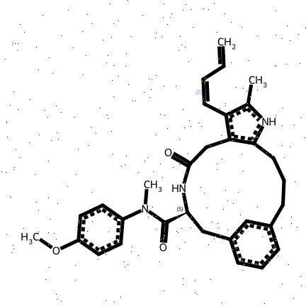 C=C/C=C\c1c(C)[nH]c2c1CC(=O)N[C@H](C(=O)N(C)c1ccc(OC)cc1)Cc1cccc(c1)CCC2